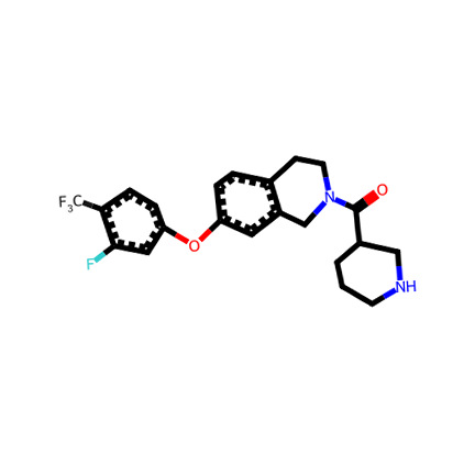 O=C(C1CCCNC1)N1CCc2ccc(Oc3ccc(C(F)(F)F)c(F)c3)cc2C1